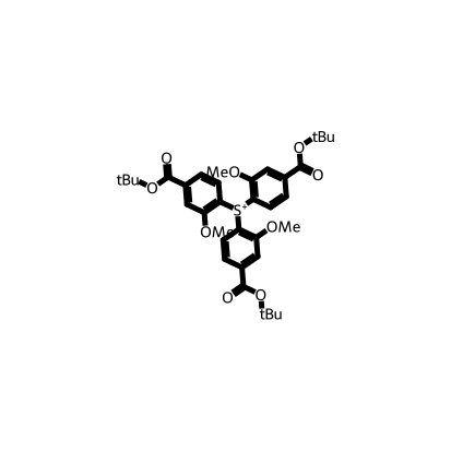 COc1cc(C(=O)OC(C)(C)C)ccc1[S+](c1ccc(C(=O)OC(C)(C)C)cc1OC)c1ccc(C(=O)OC(C)(C)C)cc1OC